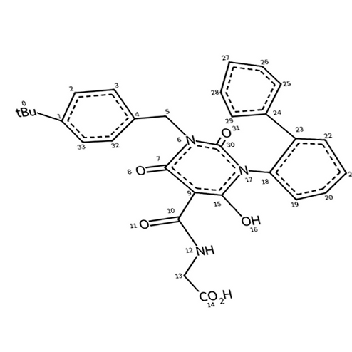 CC(C)(C)c1ccc(Cn2c(=O)c(C(=O)NCC(=O)O)c(O)n(-c3ccccc3-c3ccccc3)c2=O)cc1